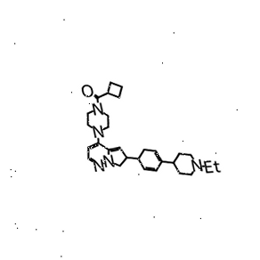 CCN1CCC(C2=CCC(C3C=C4C(N5CCN(C(=O)C6CCC6)CC5)=CC=NN4C3)C=C2)CC1